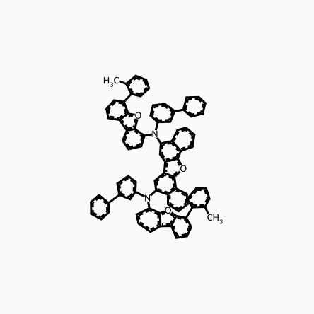 Cc1ccccc1-c1cccc2c1oc1c(N(c3cccc(-c4ccccc4)c3)c3cc4c5cc(N(c6cccc(-c7ccccc7)c6)c6cccc7c6oc6c(-c8ccccc8C)cccc67)c6ccccc6c5oc4c4ccccc34)cccc12